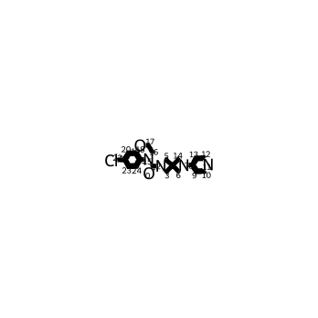 O=C(N1CC2(C1)CN(c1ccncc1)C2)N1CCOc2cc(Cl)ccc21